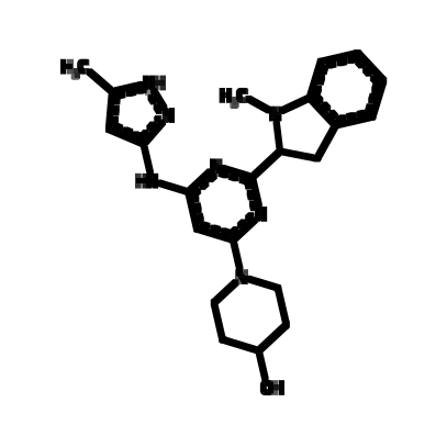 Cc1cc(Nc2cc(N3CCC(O)CC3)nc(C3Cc4ccccc4N3C)n2)n[nH]1